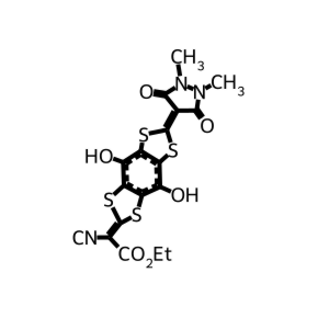 [C-]#[N+]C(C(=O)OCC)=C1Sc2c(O)c3c(c(O)c2S1)SC(=C1C(=O)N(C)N(C)C1=O)S3